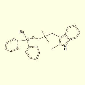 CC(C)(CO[Si](c1ccccc1)(c1ccccc1)C(C)(C)C)Cc1c(I)[nH]c2ccccc12